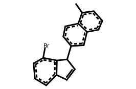 Cc1cccc2cc(C3C=Cc4cccc(Br)c43)ccc12